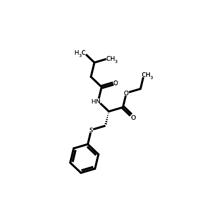 CCOC(=O)[C@H](CSc1ccccc1)NC(=O)CC(C)C